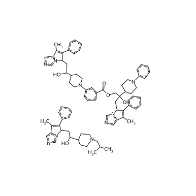 CC1=C(c2ccccc2)C(CC(O)C2CCN(CC(C)C)CC2)n2cncc21.CC1=C(c2ccccc2)C(CC(O)C2CCN(c3cccc(C(=O)OCC(O)(CC4C(c5ccccc5)=C(C)c5cncn54)C4CCN(c5ccccc5)CC4)c3)CC2)n2cncc21